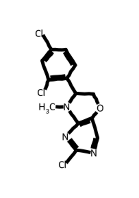 CN1c2nc(Cl)ncc2OCC1c1ccc(Cl)cc1Cl